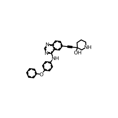 OC1(C#Cc2ccc3ncnc(Nc4ccc(Oc5ccccc5)cc4)c3c2)CCCNC1